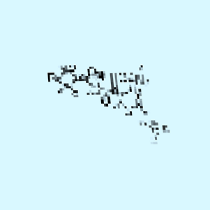 CN(C)C(=O)[C@H]1CN(CCC2CC2)CC[C@@H]1NC(=O)c1cc(-c2ccc(F)cc2F)on1